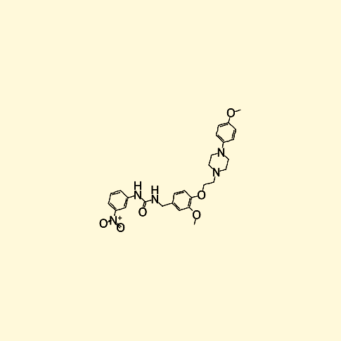 COc1ccc(N2CCN(CCOc3ccc(CNC(=O)Nc4cccc([N+](=O)[O-])c4)cc3OC)CC2)cc1